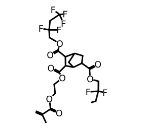 C=C(C)C(=O)OCCOC(=O)C1C2CC(CC2C(=O)OCC(F)(F)CC)C1C(=O)OCC(F)(F)CC(F)(F)F